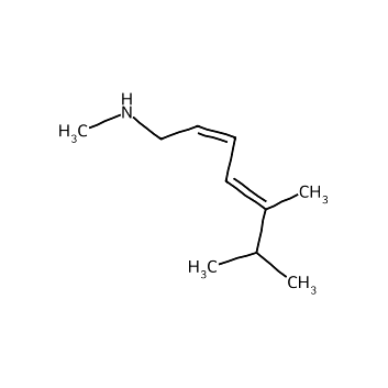 CNC/C=C\C=C(/C)C(C)C